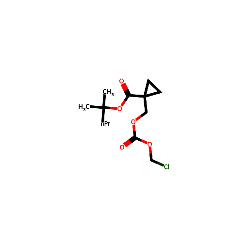 CCCC(C)(C)OC(=O)C1(COC(=O)OCCl)CC1